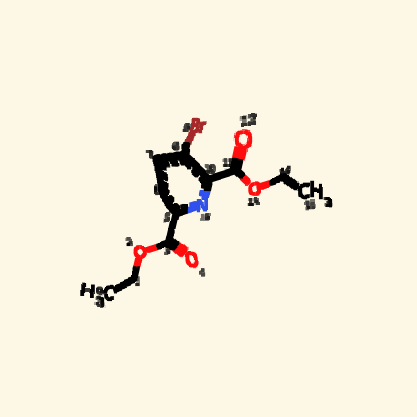 CCOC(=O)c1ccc(Br)c(C(=O)OCC)n1